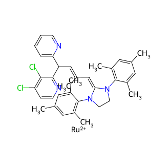 CC(=CC(c1ccccn1)c1nccc(Cl)c1Cl)C=C1N(c2c(C)cc(C)cc2C)CCN1c1c(C)cc(C)cc1C.[Ru+2]